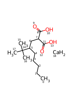 CCCCCC(CC(C(=O)O)C(=O)O)C(C)(C)C.[CaH2]